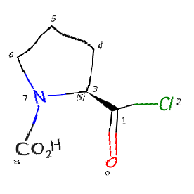 O=C(Cl)[C@@H]1CCCN1C(=O)O